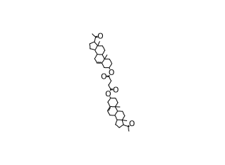 CC(=O)C1CCC2C3CC=C4CC(OC(=O)CCC(=O)OC5CCC6(C)C(=CCC7C6CCC6(C)C(C(C)=O)CCC76)C5)CCC4(C)C3CCC12C